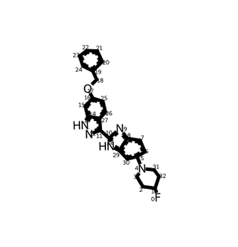 FC1CCN(c2ccc3nc(-c4n[nH]c5cc(OCc6ccccc6)ccc45)[nH]c3c2)CC1